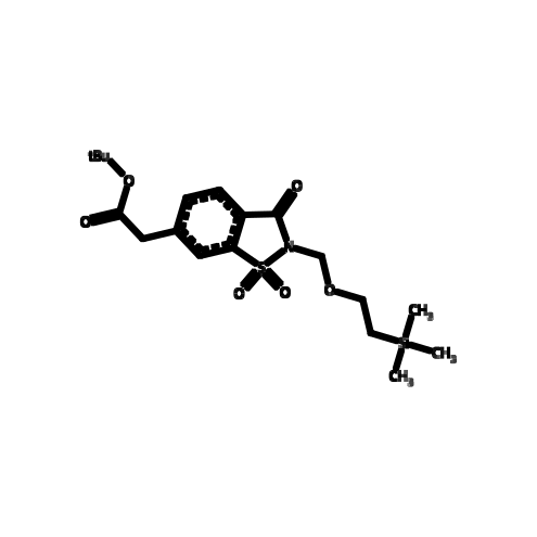 CC(C)(C)OC(=O)Cc1ccc2c(c1)S(=O)(=O)N(COCC[Si](C)(C)C)C2=O